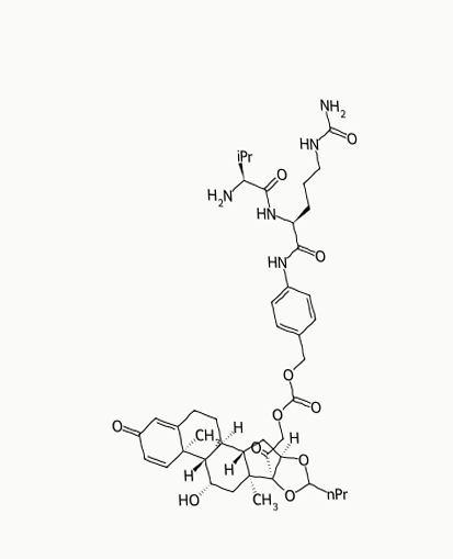 CCCC1O[C@@H]2C[C@H]3[C@@H]4CCC5=CC(=O)C=C[C@]5(C)[C@H]4[C@@H](O)C[C@]3(C)[C@]2(C(=O)COC(=O)OCc2ccc(NC(=O)[C@H](CCCNC(N)=O)NC(=O)[C@@H](N)C(C)C)cc2)O1